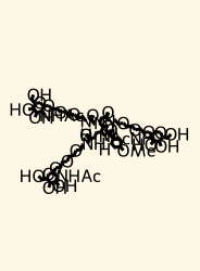 COC1CCC(C(=O)NC(CCC(=O)NCCOCCOCCOC2OC(CO)C(O)C(O)C2NC(C)=O)C(=O)N(CC(=O)NCCOCCOCCOC2OC(CO)C(O)C(O)C2NC(C)=O)CC(=O)NCCOCCOCCOC2(NC(C)=O)COC(CO)C(O)C2O)CC1